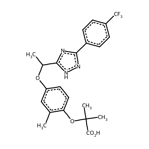 Cc1cc(OC(C)c2nc(-c3ccc(C(F)(F)F)cc3)n[nH]2)ccc1OC(C)(C)C(=O)O